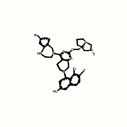 CCc1c(F)ccc2cc(O)cc(N3CCc4c(nc(OC[C@@]56CCCN5C[C@H](F)C6)nc4N4CCNc5cc(Br)ccc5C4)C3)c12